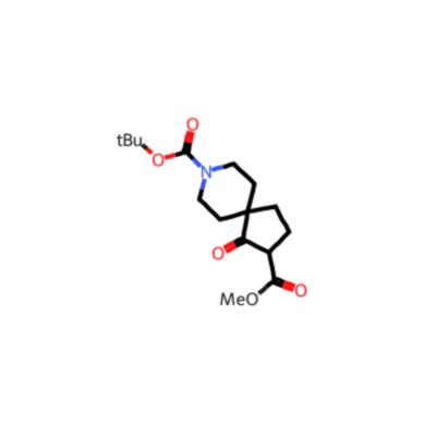 COC(=O)C1CCC2(CCN(C(=O)OC(C)(C)C)CC2)C1=O